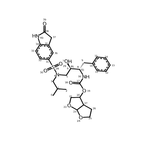 CC(C)CN(C[C@@H](O)[C@H](Cc1ccccc1)NC(=O)OC1COC2OCCC12)S(=O)(=O)c1ccc2c(c1)CC(=O)N2